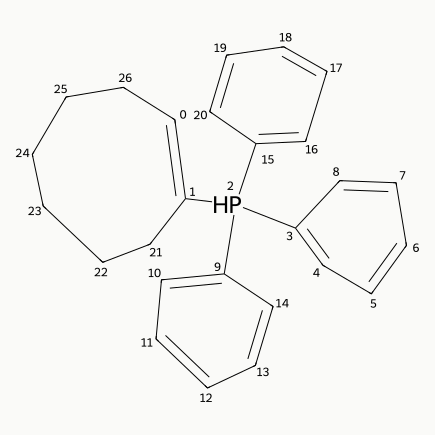 C1=C([PH](c2ccccc2)(c2ccccc2)c2ccccc2)CCCCCC1